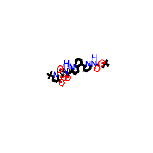 COc1ccc(C(C)(C)C)nc1S(=O)(=O)NC(=O)c1ccc2c(-c3cccc(NC(=O)OC(C)(C)C)n3)cccc2n1